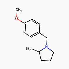 CC(C)(C)C1CCCN1Cc1ccc(OC(F)(F)F)cc1